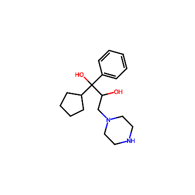 OC(CN1CCNCC1)C(O)(c1ccccc1)C1CCCC1